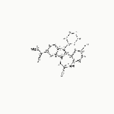 COC(=O)c1ccc2c(C3CCCCC3)c3n(c2c1)CC(=O)Nc1ccc(F)cc1-3